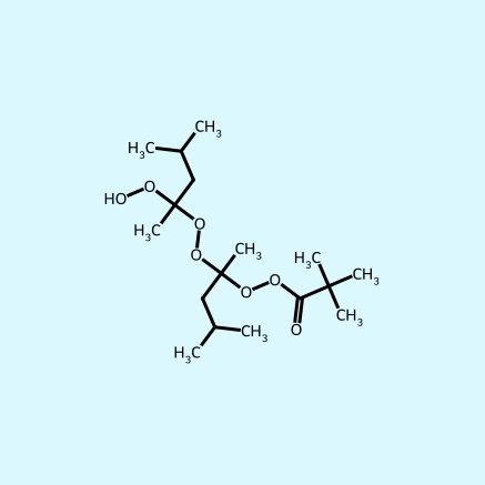 CC(C)CC(C)(OO)OOC(C)(CC(C)C)OOC(=O)C(C)(C)C